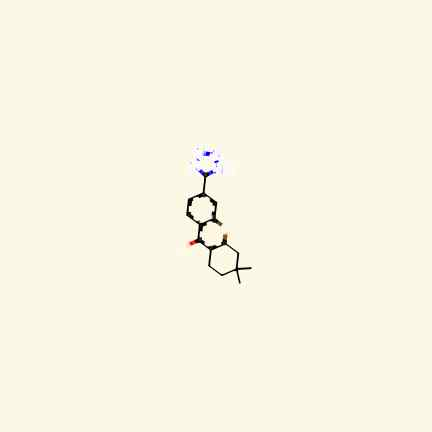 CC1(C)CCc2c(sc3cc(-c4nnn[nH]4)ccc3c2=O)C1